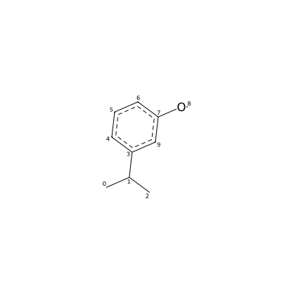 CC(C)c1cccc([O])c1